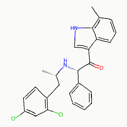 Cc1cccc2c(C(=O)[C@@H](N[C@@H](C)Cc3ccc(Cl)cc3Cl)c3ccccc3)c[nH]c12